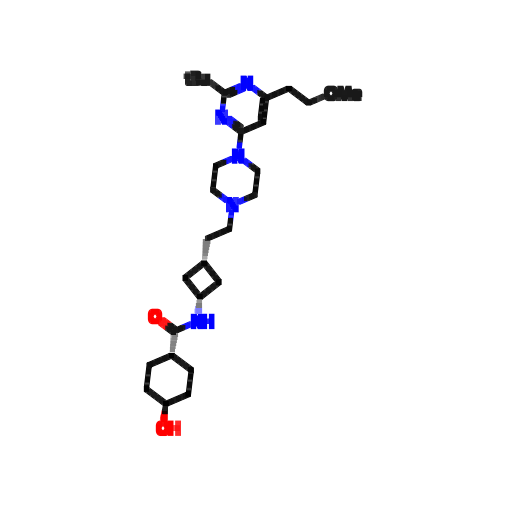 COCCc1cc(N2CCN(CC[C@H]3C[C@@H](NC(=O)[C@H]4CC[C@H](O)CC4)C3)CC2)nc(C(C)(C)C)n1